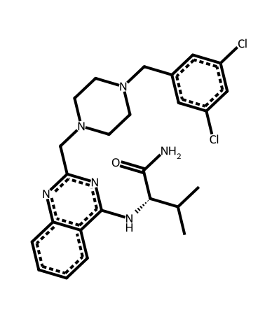 CC(C)[C@H](Nc1nc(CN2CCN(Cc3cc(Cl)cc(Cl)c3)CC2)nc2ccccc12)C(N)=O